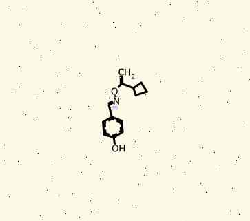 C=C(O/N=C/c1ccc(O)cc1)C1CCC1